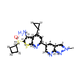 Cn1cc2cc(-c3cc(C4CC4)c4c(N)c([S@@+]([O-])C5CCC5)sc4n3)cnc2n1